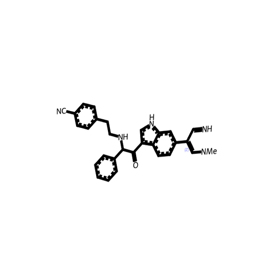 CN/C=C(\C=N)c1ccc2c(C(=O)C(NCCc3ccc(C#N)cc3)c3ccccc3)c[nH]c2c1